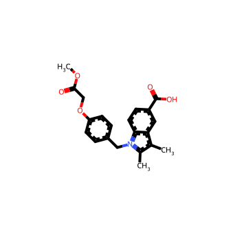 COC(=O)COc1ccc(Cn2c(C)c(C)c3cc(C(=O)O)ccc32)cc1